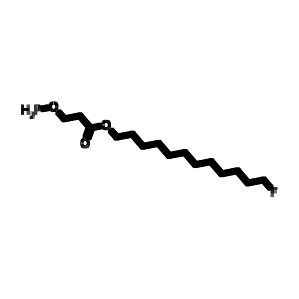 O=C(CCOP)OCCCCCCCCCCCCF